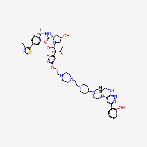 Cc1ncsc1-c1ccc([C@H](C)NC(=O)[C@@H]2CC(O)CN2C(=O)[C@@H](c2cc(OCCN3CCN(CCN4CCC(N5CCN6c7cc(-c8ccccc8O)nnc7NC[C@H]6C5)CC4)CC3)no2)C(C)C)cc1